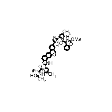 C=C(O)N[C@H](C(=O)N1C[C@@H](C)C[C@H]1c1nc2ccc3cc4c(cc3c2[nH]1)OCc1cc(-c2cnc([C@@H]3C[C@H](C)CN3C(=O)[C@H](NC(=O)OC)c3ccccc3)[nH]2)ccc1-4)C(C)C